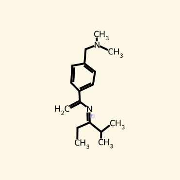 C=C(/N=C(\CC)C(C)C)c1ccc(CN(C)C)cc1